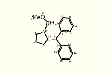 COBN1CCC[C@H]1C(c1ccccc1)c1ccccc1